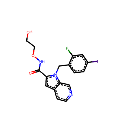 O=C(NOCCO)c1cc2ccncc2n1Cc1ccc(I)cc1F